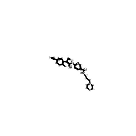 CC1=C(c2cnn(-c3ccc(C(=O)NCCCN4CCOCC4)cn3)c2O)C=CC(C#N)CC1